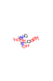 CC(O)N(CCc1ccccc1)C(C)O.CC(O)[N+](C)(C)Cc1ccccc1.[O-]O